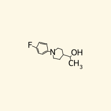 CC(O)C1CCN(c2ccc(F)cc2)CC1